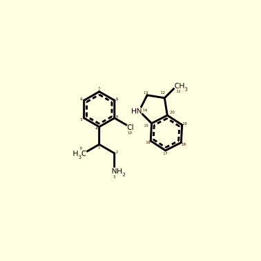 CC(CN)c1ccccc1Cl.CC1CNc2ccccc21